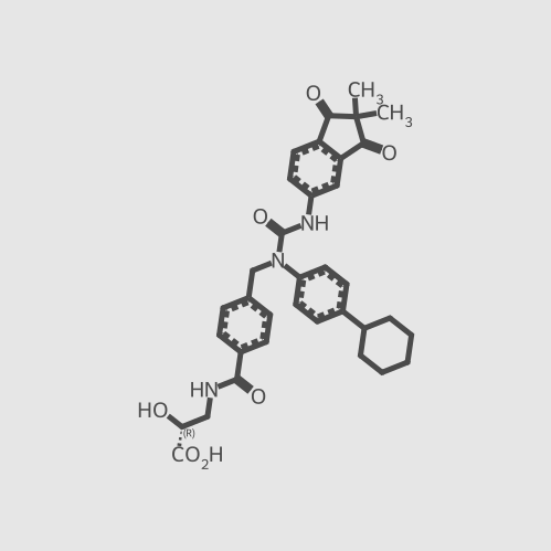 CC1(C)C(=O)c2ccc(NC(=O)N(Cc3ccc(C(=O)NC[C@@H](O)C(=O)O)cc3)c3ccc(C4CCCCC4)cc3)cc2C1=O